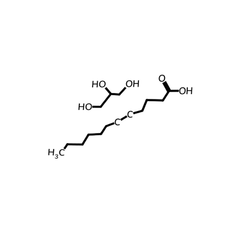 CCCCCCCCCCCC(=O)O.OCC(O)CO